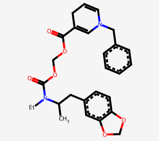 CCN(C(=O)OCOC(=O)C1=CN(Cc2ccccc2)C=CC1)C(C)Cc1ccc2c(c1)OCO2